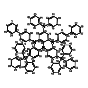 c1ccc(-c2ccc(N3c4cc([Si](c5ccccc5)(c5ccccc5)c5ccccc5)ccc4B4c5ccc(S(c6ccccc6)(c6ccccc6)c6ccccc6)cc5N(c5ccc(-c6ccccc6)cc5)c5cc(N(c6ccccc6)c6ccccc6)cc3c54)cc2)cc1